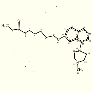 CCC(=O)NCCCCCOc1ccc2cccc(N3CCN(C)CC3)c2c1